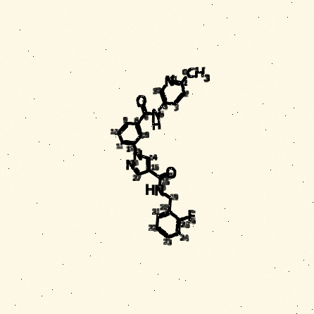 Cc1ccc(NC(=O)c2cccc(-n3cc(C(=O)NCc4ccccc4F)cn3)c2)cn1